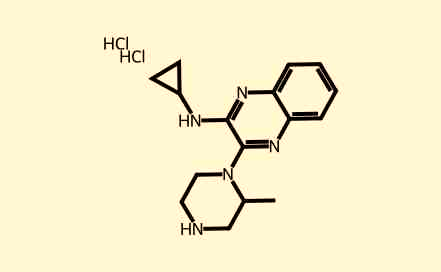 CC1CNCCN1c1nc2ccccc2nc1NC1CC1.Cl.Cl